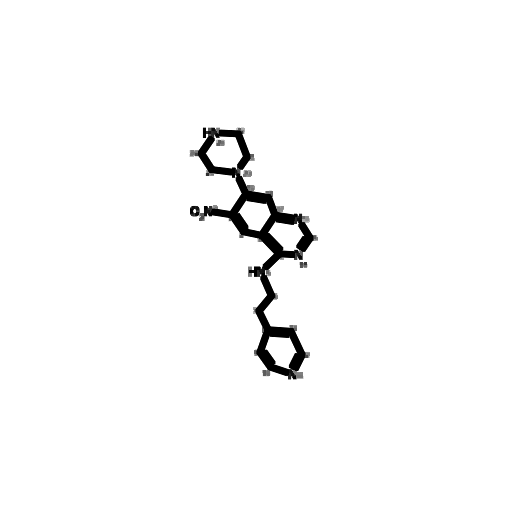 O=[N+]([O-])c1cc2c(NCCc3ccncc3)ncnc2cc1N1CCNCC1